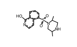 CC1CN(S(=O)(=O)c2cccc3c(O)nccc23)C(C)CN1